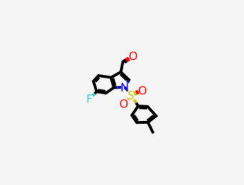 Cc1ccc(S(=O)(=O)n2cc(C=O)c3ccc(F)cc32)cc1